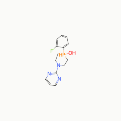 O[PH]1(c2ccccc2F)CCN(c2ncccn2)CC1